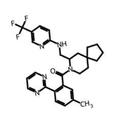 Cc1ccc(-c2ncccn2)c(C(=O)N2CCC3(CCCC3)CC2CNc2ccc(C(F)(F)F)cn2)c1